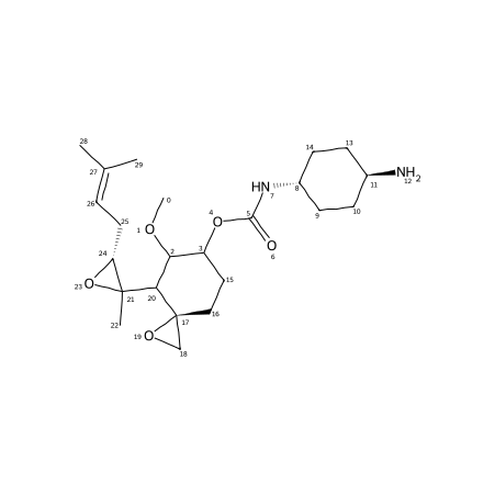 COC1C(OC(=O)N[C@H]2CC[C@H](N)CC2)CC[C@]2(CO2)C1C1(C)O[C@@H]1CC=C(C)C